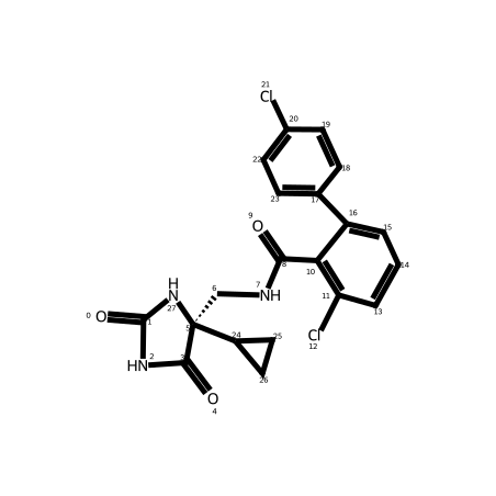 O=C1NC(=O)[C@](CNC(=O)c2c(Cl)cccc2-c2ccc(Cl)cc2)(C2CC2)N1